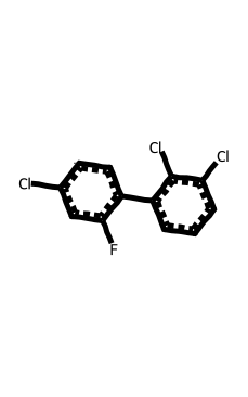 Fc1cc(Cl)[c]cc1-c1cccc(Cl)c1Cl